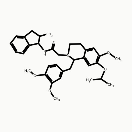 COc1ccc(CC2c3cc(OC(C)C)c(OC)cc3CCN2CC(=O)NC2c3ccccc3CC2C)cc1OC